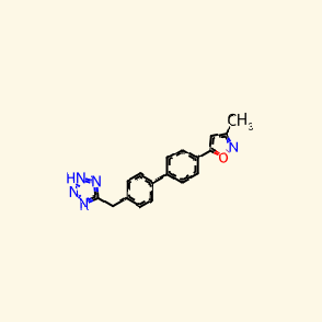 Cc1cc(-c2ccc(-c3ccc(Cc4nn[nH]n4)cc3)cc2)on1